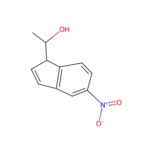 CC(O)C1C=Cc2cc([N+](=O)[O-])ccc21